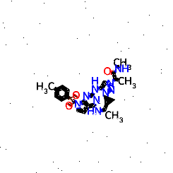 CNC(=O)C(C)n1cc(Nc2nc(N[C@@H](C)C3CC3)c3ccn(S(=O)(=O)c4ccc(C)cc4)c3n2)nn1